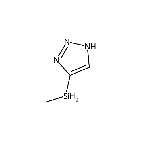 C[SiH2]c1c[nH]nn1